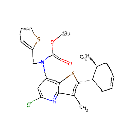 Cc1c([C@H]2CC=CC[C@@H]2[N+](=O)[O-])sc2c(N(Cc3cccs3)C(=O)OC(C)(C)C)cc(Cl)nc12